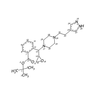 CC(C)(C)OC(=O)c1ccccc1C(C1CO1)N1CCN(CCc2cn[nH]c2)CC1